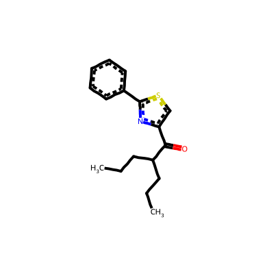 CCCC(CCC)C(=O)c1csc(-c2ccccc2)n1